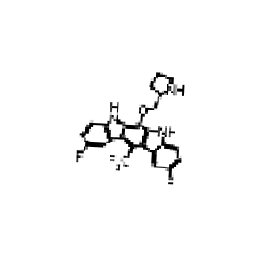 Fc1ccc2[nH]c3c(OCC4CCCN4)c4[nH]c5ccc(F)cc5c4c(C(F)(F)F)c3c2c1